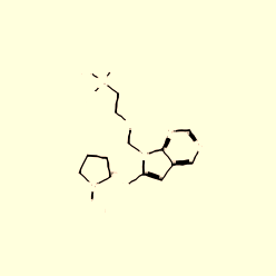 C[Si](C)(C)CCOCn1c(C[C@H]2CCCN2S(=O)(=O)O)cc2cncnc21